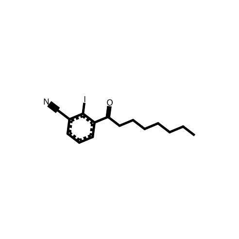 CCCCCCCC(=O)c1cccc(C#N)c1I